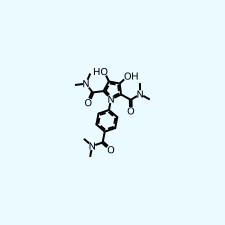 CN(C)C(=O)c1ccc(-n2c(C(=O)N(C)C)c(O)c(O)c2C(=O)N(C)C)cc1